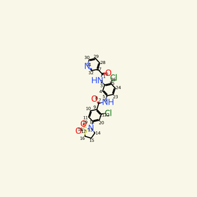 O=C(Nc1cc(NC(=O)c2ccc(N3CCCS3(=O)=O)cc2Cl)ccc1Cl)c1cccnc1